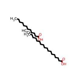 C#C.CCCCCCCCCCCC(=O)O.CCCCCCCCCCCCCCCCCC(=O)O